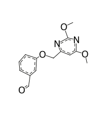 COc1cc(COc2cccc(C=O)c2)nc(OC)n1